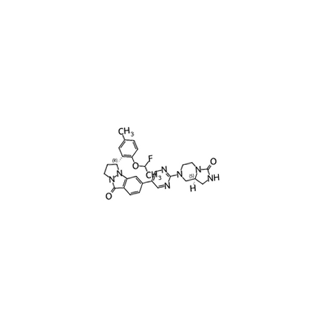 Cc1ccc(OC(C)F)c([C@H]2CCn3c(=O)c4ccc(-c5cnc(N6CCN7C(=O)NC[C@H]7C6)nc5)cc4n32)c1